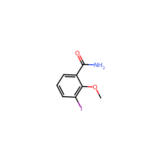 COc1c(I)cccc1C(N)=O